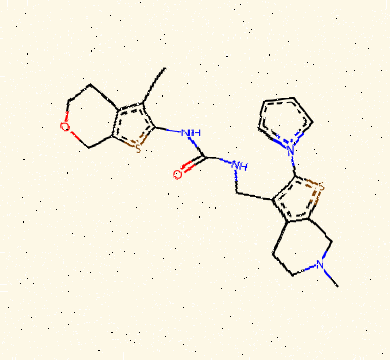 Cc1c(NC(=O)NCc2c(-n3cccc3)sc3c2CCN(C)C3)sc2c1CCOC2